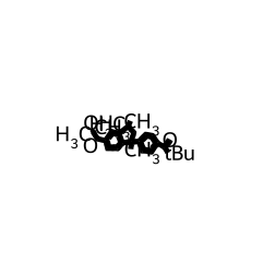 CC(C)(C)C(=O)c1ccc(C2(C)CC(C)(C)c3cc(C(=O)C(C)(C)O)ccc32)cc1